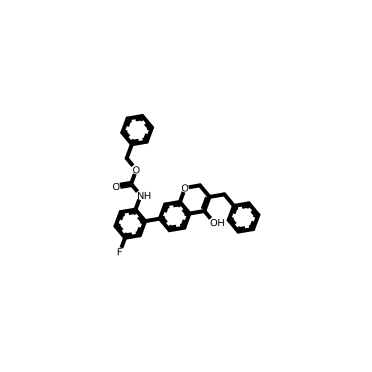 O=C(Nc1ccc(F)cc1-c1ccc2c(c1)OCC(Cc1ccccc1)=C2O)OCc1ccccc1